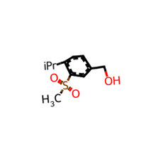 CC(C)c1ccc(CO)cc1S(C)(=O)=O